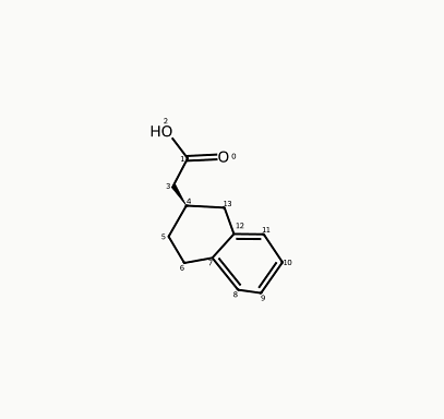 O=C(O)C[C@@H]1CCc2ccccc2C1